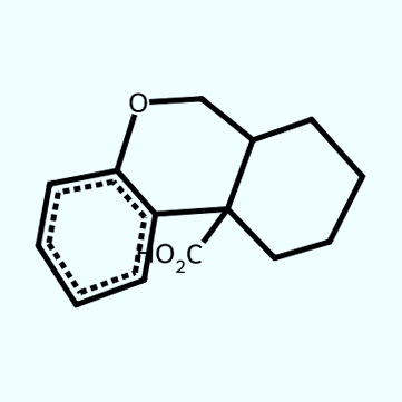 O=C(O)C12CCCCC1COc1ccccc12